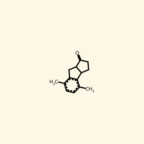 Cc1ccc(C)c2c1CC1C(=O)CCC21